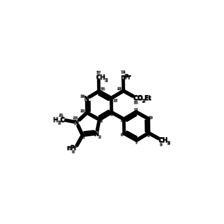 CCCc1nc2c(-c3ccc(C)cc3)c(C(CCC)C(=O)OCC)c(C)nc2n1C